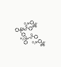 C[N+](CCOC(=O)c1ccccc1)(Cc1ccc(C[N+](C)(CCOC(=O)c2ccccc2)c2ccccc2)cc1)c1ccccc1.O=[N+]([O-])c1cccc(S(=O)(=O)[O-])c1.O=[N+]([O-])c1cccc(S(=O)(=O)[O-])c1